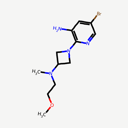 COCCN(C)C1CN(c2ncc(Br)cc2N)C1